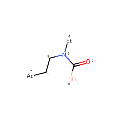 BC(=O)N(CC)CCC(C)=O